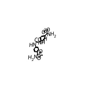 CS(=O)(=O)C(N)c1ccc(NC(Nc2ccc(C(N)S(C)(=O)=O)cc2)C(=O)O)cc1